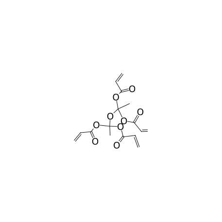 C=CC(=O)OC(C)(OC(=O)C=C)OC(C)(OC(=O)C=C)OC(=O)C=C